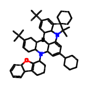 CC(C)(C)C1=CC2B3C4CC(C(C)(C)C)=CCC4N(C4CCCC5=C4OC4C=CC=CC54)C4C=C(C5CCCCC5)C=C(C34)N3C2C(=C1)C1(CCCCC1)C3(C)C